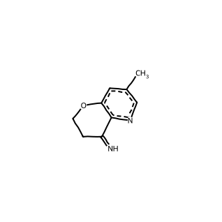 Cc1cnc2c(c1)OCCC2=N